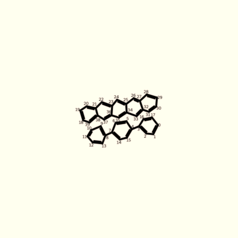 c1ccc(-c2ccc(-c3ccccc3)cc2)cc1.c1ccc2cc3cc4cc5ccccc5cc4cc3cc2c1